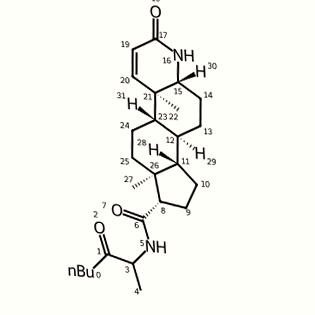 CCCCC(=O)C(C)NC(=O)[C@H]1CC[C@H]2[C@@H]3CC[C@H]4NC(=O)C=C[C@]4(C)[C@H]3CC[C@]12C